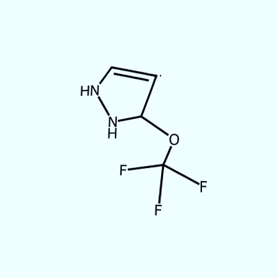 FC(F)(F)OC1[C]=CNN1